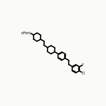 CCCCCC1CCC(CCC2CCC(c3ccc(CCc4ccc(Cl)c(F)c4)cc3)CC2)CC1